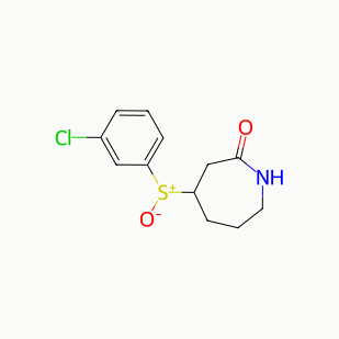 O=C1CC([S+]([O-])c2cccc(Cl)c2)CCCN1